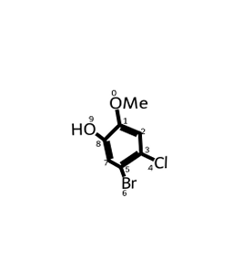 COc1cc(Cl)c(Br)cc1O